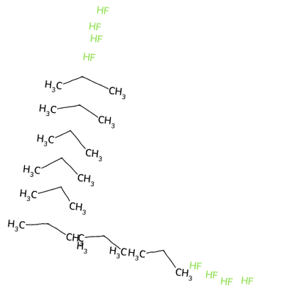 CCC.CCC.CCC.CCC.CCC.CCC.CCC.CCC.F.F.F.F.F.F.F.F